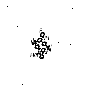 O=C(O)c1ccc(-c2cnnn2-c2cc(-c3ccc(-c4cnnn4-c4ccc5c(c4)c4ccccc4n5CO)cc3)c3[nH]c4ccc(F)cc4c3c2)cc1